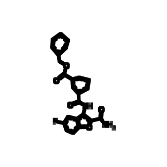 NC(=O)c1oc2ccc(F)cc2c1NC(=O)c1cccc(C(=O)OCc2ccccc2)c1